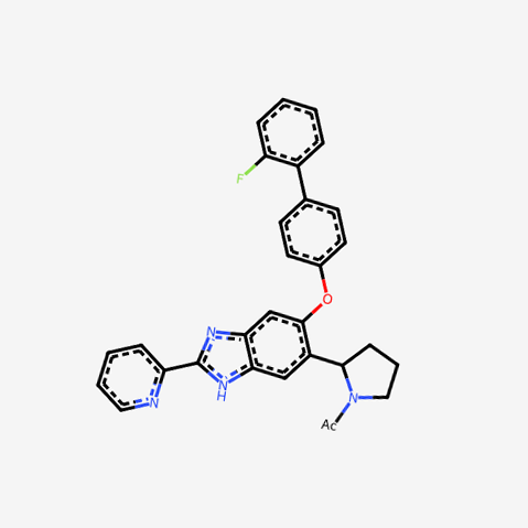 CC(=O)N1CCCC1c1cc2[nH]c(-c3ccccn3)nc2cc1Oc1ccc(-c2ccccc2F)cc1